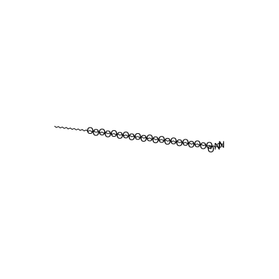 CCCCCCCCCCCCCCCCCCOCCOCCOCCOCCOCCOCCOCCOCCOCCOCCOCCOCCOCCOCCOCCOCCOCCOCCOCCOCCOC(=O)CCN1CCN(C)CC1